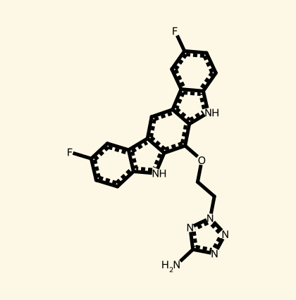 Nc1nnn(CCOc2c3[nH]c4ccc(F)cc4c3cc3c2[nH]c2ccc(F)cc23)n1